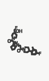 Cc1cc(F)ccc1C1CCN(C(=O)Cn2nc(C(=O)N3CCC(O)(CF)CC3)c3c2CCC3)CC1